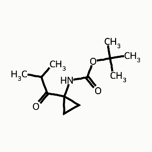 CC(C)C(=O)C1(NC(=O)OC(C)(C)C)CC1